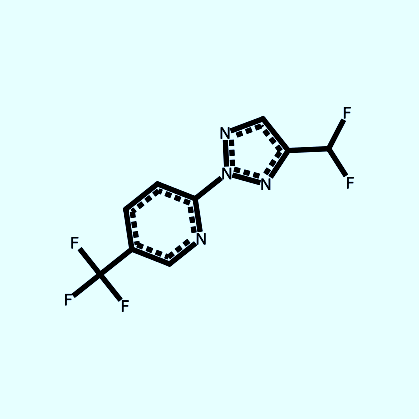 FC(F)c1cnn(-c2ccc(C(F)(F)F)cn2)n1